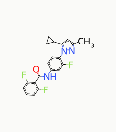 Cc1cc(C2CC2)n(-c2ccc(NC(=O)c3c(F)cccc3F)cc2F)n1